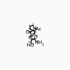 CC(=O)N1CCCC12CCN(OC(CO)C(N)=O)C2=O